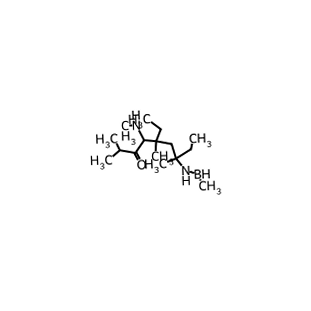 CBNC(C)(CC)CC(C)(CC)C(NC)C(=O)C(C)C